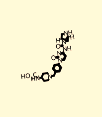 O=C(O)NC1CCN(Cc2ccc(-n3ccc(NC(=O)N4C[C@@H]5C[C@H]4CN5)nc3=O)cc2)CC1